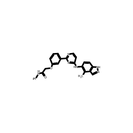 Cc1c(Nc2ccnc(-c3cccc(OCC(=O)NC(C)C)c3)n2)ccc2[nH]ncc12